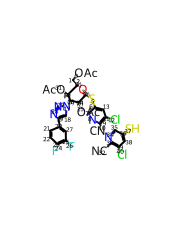 CC(=O)OC[C@H]1O[C@H](Sc2cnc(C#N)c(Cl)c2)[C@H](OC(C)=O)[C@@H](n2cc(-c3ccc(F)c(F)c3)nn2)[C@H]1OC(C)=O.N#Cc1ncc(S)cc1Cl